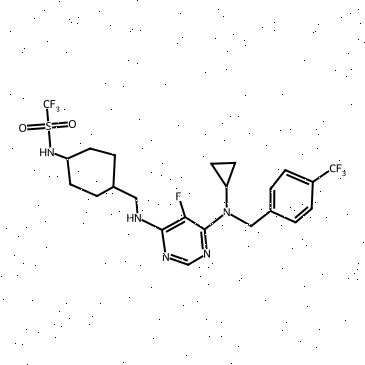 O=S(=O)(NC1CCC(CNc2ncnc(N(Cc3ccc(C(F)(F)F)cc3)C3CC3)c2F)CC1)C(F)(F)F